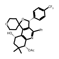 CC(=O)O[C@H]1c2nc(C(C)C)c3c(c2[C@@H](O)CC1(C)C)C1(CCOCC1)O[C@@H]3c1ccc(C(F)(F)F)cc1